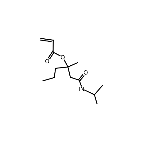 C=CC(=O)OC(C)(CCC)CC(=O)NC(C)C